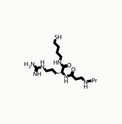 CC(C)NCCC(=O)N[C@H](CCCNC(=N)N)C(=O)NCCCCS